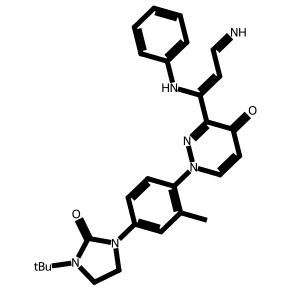 Cc1cc(N2CCN(C(C)(C)C)C2=O)ccc1-n1ccc(=O)c(/C(=C/C=N)Nc2ccccc2)n1